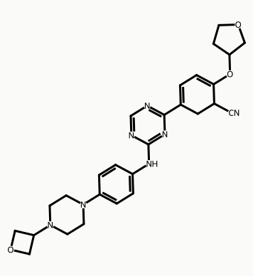 N#CC1CC(c2ncnc(Nc3ccc(N4CCN(C5COC5)CC4)cc3)n2)=CC=C1OC1CCOC1